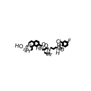 CC(C)CC1c2cc(C(=O)N[C@@H](CC(C)C)C(=O)NCCCNS(=O)(=O)c3ccc(F)cc3Cl)ccc2CCN1C(=O)O